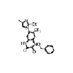 CCc1nc(C)cn1-c1cc2[nH]c(=O)c(=O)n(OCc3ccccc3)c2cc1C(F)(F)F